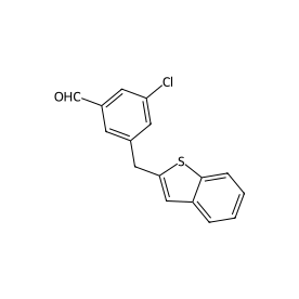 O=Cc1cc(Cl)cc(Cc2cc3ccccc3s2)c1